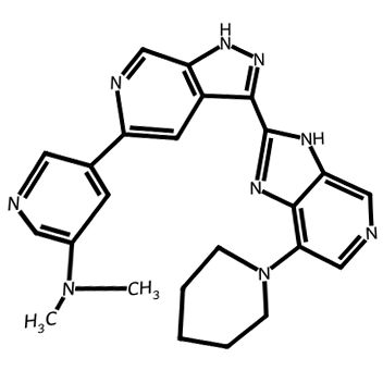 CN(C)c1cncc(-c2cc3c(-c4nc5c(N6CCCCC6)cncc5[nH]4)n[nH]c3cn2)c1